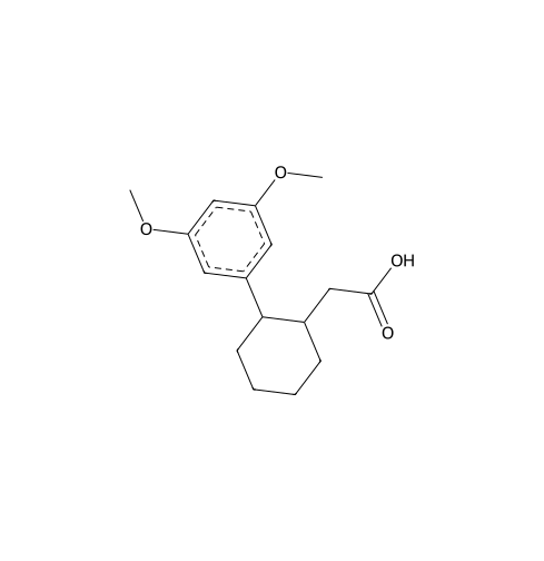 COc1cc(OC)cc(C2CCCCC2CC(=O)O)c1